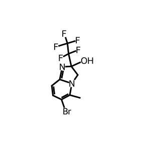 CC1=C(Br)C=CC2=NC(O)(C(F)(F)C(F)(F)F)CN21